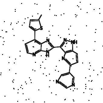 Cc1ccc(-c2ccnc3[nH]c(-c4n[nH]c5ccc(-c6cncnc6)nc45)nc23)s1